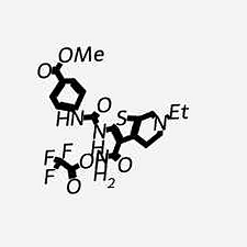 CCN1CCc2c(sc(NC(=O)Nc3ccc(C(=O)OC)cc3)c2C(N)=O)C1.O=C(O)C(F)(F)F